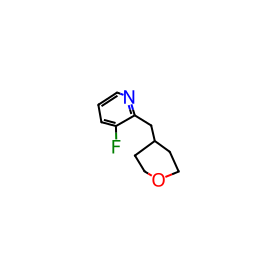 Fc1cccnc1CC1CCOCC1